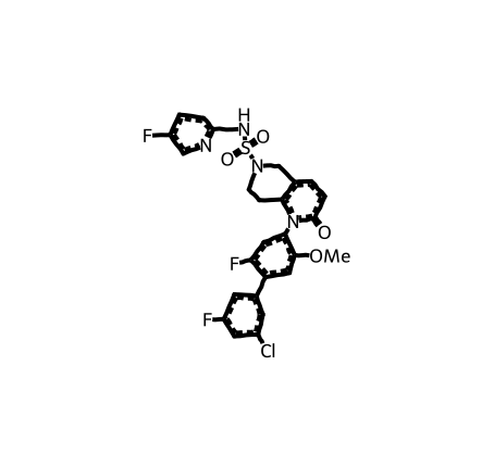 COc1cc(-c2cc(F)cc(Cl)c2)c(F)cc1-n1c2c(ccc1=O)CN(S(=O)(=O)Nc1ccc(F)cn1)CC2